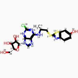 C[C@H](CSc1nc2ccc(O)cc2s1)Nc1nc(Cl)nc2c1ncn2[C@@H]1O[C@H](CO)C(O)C1O